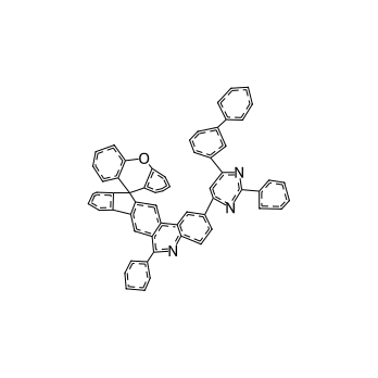 c1ccc(-c2cccc(-c3cc(-c4ccc5nc(-c6ccccc6)c6cc7c(cc6c5c4)C4(c5ccccc5Oc5ccccc54)c4ccccc4-7)nc(-c4ccccc4)n3)c2)cc1